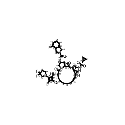 O=C1N[C@]2(C(=O)NS(=O)(=O)C3CC3)C[C@H]2/C=C\CCCCC[C@H](Nc2c(N3CCC(F)(F)C3)c(=O)c2=O)C(=O)N2C[C@H](OC(=O)N3Cc4cccc(F)c4C3)C[C@@H]12